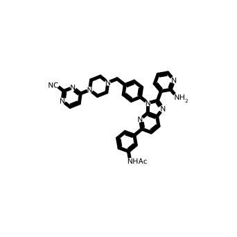 CC(=O)Nc1cccc(-c2ccc3nc(-c4cccnc4N)n(-c4ccc(CN5CCN(c6ccnc(C#N)n6)CC5)cc4)c3n2)c1